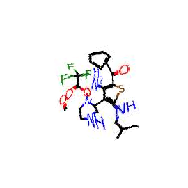 C=O.CC(C)CNc1sc(C(=O)c2ccccc2)c(N)c1C1CNCCN1OC(=O)C(F)(F)F